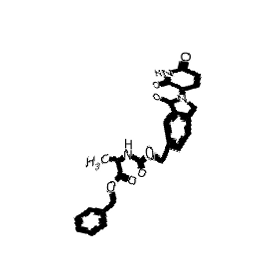 CC(NC(=O)OCc1ccc2c(c1)C(=O)N(C1CCC(=O)NC1=O)C2)C(=O)OCc1ccccc1